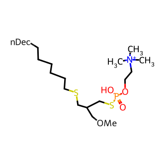 CCCCCCCCCCCCCCCCSCC(COC)CSP(=O)(O)OCC[N+](C)(C)C